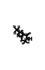 C=C1NC(C)(C)Cc2nc(C(C)(C)C)sc21